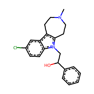 CN1CCc2c(n(CC(O)c3ccccc3)c3ccc(Cl)cc23)CC1